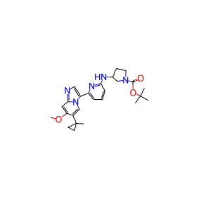 COc1cc2ncc(-c3cccc(NC4CCN(C(=O)OC(C)(C)C)C4)n3)n2cc1C1(C)CC1